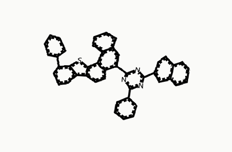 c1ccc(-c2nc(-c3ccc4ccccc4c3)nc(-c3cc4ccccc4c4c3ccc3c5cccc(-c6ccccc6)c5sc34)n2)cc1